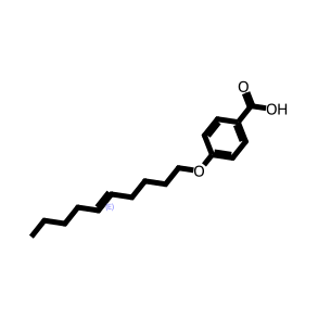 CCCC/C=C/CCCCOc1ccc(C(=O)O)cc1